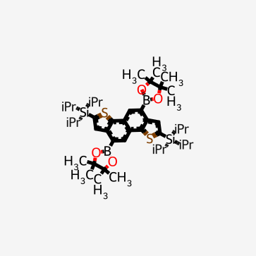 CC(C)[Si](c1cc2c(B3OC(C)(C)C(C)(C)O3)cc3c(cc(B4OC(C)(C)C(C)(C)O4)c4cc([Si](C(C)C)(C(C)C)C(C)C)sc43)c2s1)(C(C)C)C(C)C